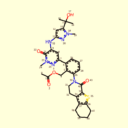 CC(=O)OCc1c(-c2cc(Nc3cc(C(C)(C)O)n(C)n3)c(=O)n(C)n2)cccc1N1CCc2c(sc3c2CCCC3)C1=O